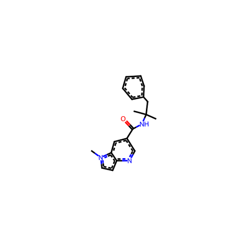 Cn1ccc2ncc(C(=O)NC(C)(C)Cc3ccccc3)cc21